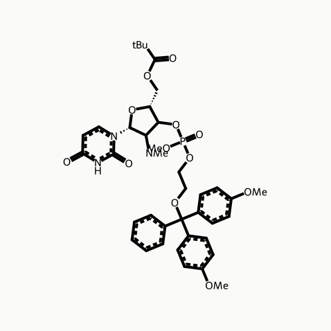 CNC1C(OP(=O)(OC)OCCOC(c2ccccc2)(c2ccc(OC)cc2)c2ccc(OC)cc2)[C@@H](COC(=O)C(C)(C)C)O[C@H]1n1ccc(=O)[nH]c1=O